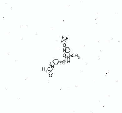 C[C@@H](NC(=O)[C@@H]1C[C@H]1c1ccc2ccn(CC3(C)COC3)c2c1)c1ccc(OCC(F)(F)F)nc1